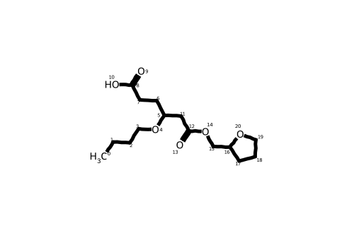 CCCCOC(CCC(=O)O)CC(=O)OCC1CCCO1